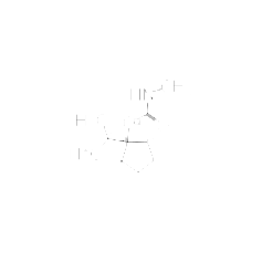 CNC(=O)OC1(C(C)C)CCCC1